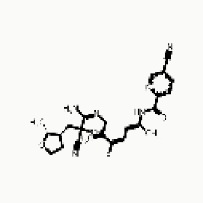 C=C(C/N=C(/N)C(C)(C#N)C[C@H]1CCO[C@@H]1C)/C(F)=C\C=C(/C)NC(=O)c1ccc(C#N)cn1